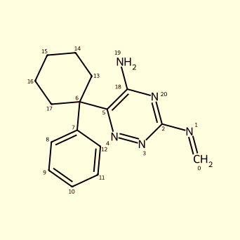 C=Nc1nnc(C2(c3ccccc3)CCCCC2)c(N)n1